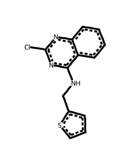 Clc1nc(NCc2cccs2)c2ccccc2n1